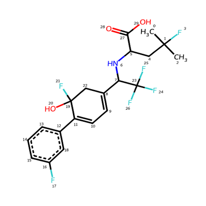 CC(C)(F)CC(NC(C1=CC=C(c2cccc(F)c2)C(O)(F)C1)C(F)(F)F)C(=O)O